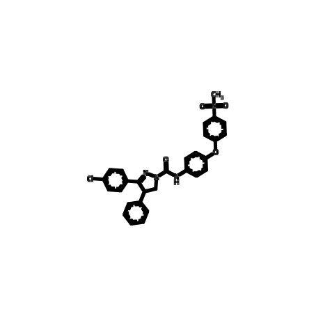 CS(=O)(=O)c1ccc(Oc2ccc(NC(=O)N3CC(c4ccccc4)C(c4ccc(Cl)cc4)=N3)cc2)cc1